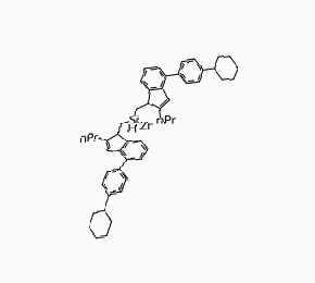 CCCC1=Cc2c(-c3ccc(C4CCCCC4)cc3)cccc2C1C[SiH]([Zr])CC1C(CCC)=Cc2c(-c3ccc(C4CCCCC4)cc3)cccc21